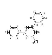 Clc1cc(-c2ccncc2)nc(-c2ccncc2)n1